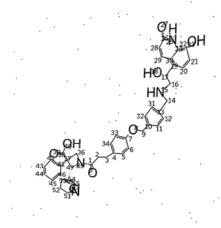 O=C(CCc1ccc(OCc2ccc(CNC[C@H](O)c3ccc(O)c4[nH]c(=O)ccc34)cc2)cc1)N1CC(C(=O)O)(c2ccccc2)[C@H]1C1CN2CCC1CC2